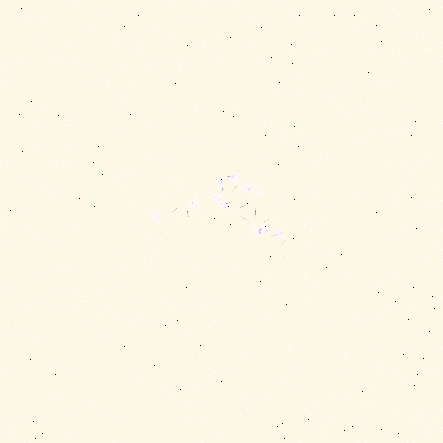 CN(C/C=C/C(=O)N1CC[C@@H](n2nc(-c3ccc(C(=O)Nc4ncc(C(F)(F)F)s4)cc3)c3c(N)ncnc32)C1)C1CC1